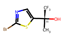 C[C@@](O)(c1cnc(Br)s1)C(F)(F)F